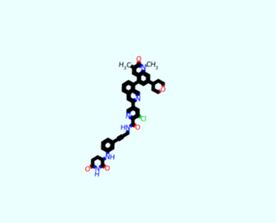 Cc1cc2c(-c3cccc4cc(-c5cnc(C(=O)NCC#Cc6cccc(NC7CCC(=O)NC7=O)c6)c(Cl)c5)ncc34)cc(C3CCOCC3)cc2n(C)c1=O